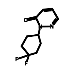 O=c1cccnn1C1CCC(F)(F)CC1